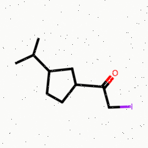 CC(C)C1CCC(C(=O)CI)C1